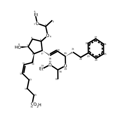 CCOC(C)OC1C[C@H](O)[C@H](C/C=C\CCCC(=O)O)[C@H]1/C=C/[C@H](CCc1ccccc1)OC(C)OCC